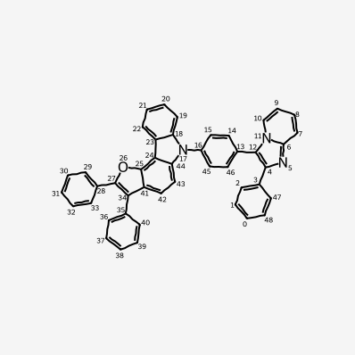 c1ccc(-c2nc3ccccn3c2-c2ccc(-n3c4ccccc4c4c5oc(-c6ccccc6)c(-c6ccccc6)c5ccc43)cc2)cc1